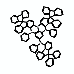 c1ccc(N(c2cc3c4c(c2)N(c2ccccc2)c2c(ccc5c2-c2ccccc2C52c5ccccc5-c5ccccc52)B4c2ccc4c(c2N3c2ccccc2)-c2ccccc2C42c3ccccc3-c3ccccc32)c2cccc3c2-c2ccccc2C3(c2ccccc2)c2ccccc2)cc1